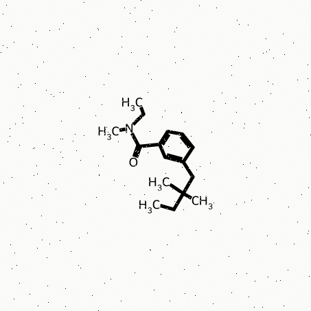 CCN(C)C(=O)c1cccc(CC(C)(C)CC)c1